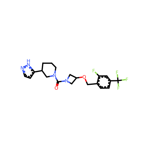 O=C(N1CC(OCc2ccc(C(F)(F)F)cc2F)C1)N1CCCC(c2ccn[nH]2)C1